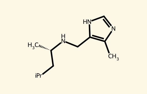 Cc1nc[nH]c1CN[C@@H](C)CC(C)C